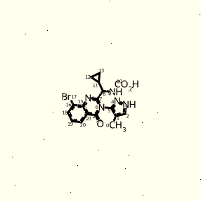 Cc1c[nH]nc1-n1c(C(NC(=O)O)C2CC2)nc2c(Br)cccc2c1=O